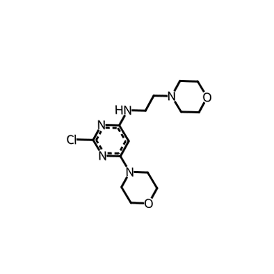 Clc1nc(NCCN2CCOCC2)cc(N2CCOCC2)n1